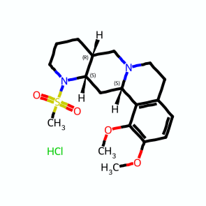 COc1ccc2c(c1OC)[C@@H]1C[C@H]3[C@H](CCCN3S(C)(=O)=O)CN1CC2.Cl